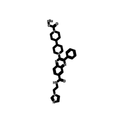 CCCCOC(=O)N1CCC(C2CCN(c3nc4ccc(C(=O)NCCn5ccnc5)cc4nc3-c3ccccc3)CC2)CC1